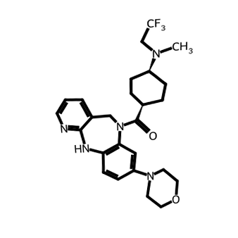 CN(CC(F)(F)F)[C@H]1CC[C@@H](C(=O)N2Cc3cccnc3Nc3ccc(N4CCOCC4)cc32)CC1